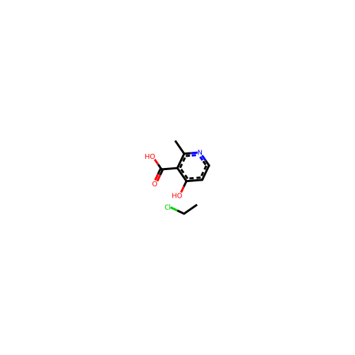 CCCl.Cc1nccc(O)c1C(=O)O